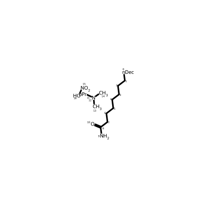 CCCCCCCCCCCCCCCCCC(N)=O.CCCN(C)C.O=[N+]([O-])O